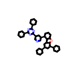 c1ccc(-c2cc(-c3ccccc3)c3oc4cccc(-c5cncc(-c6nc(-c7ccccc7)nc(-c7ccccc7)n6)c5)c4c3c2)cc1